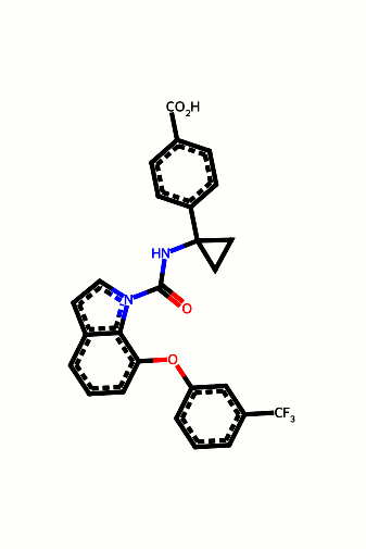 O=C(O)c1ccc(C2(NC(=O)n3ccc4cccc(Oc5cccc(C(F)(F)F)c5)c43)CC2)cc1